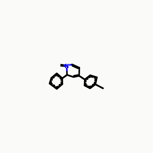 C=[N+]1C=CC(c2ccc(C)cc2)=CC1c1ccccc1